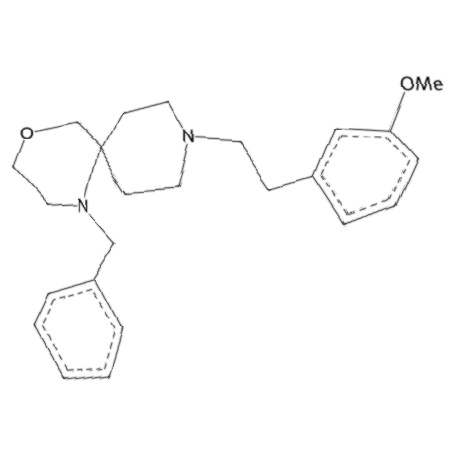 COc1cccc(CCN2CCC3(CC2)COCCN3Cc2ccccc2)c1